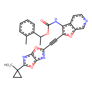 Cc1ccccc1C(C)OC(=O)Nc1c(C#Cc2nc3oc(C4(C(=O)O)CC4)nc3o2)oc2cnccc12